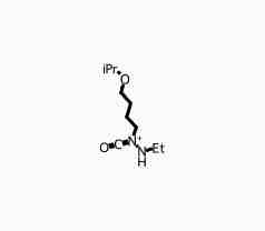 CCN[N+](=C=O)CCCCOC(C)C